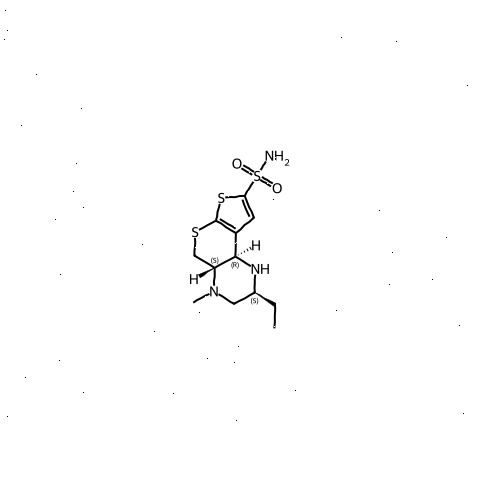 CC[C@H]1CN(C)[C@@H]2CSc3sc(S(N)(=O)=O)cc3[C@H]2N1